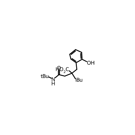 CCC(C)C(CC(=O)NC(C)(C)C)(Cc1ccccc1O)C(=O)O